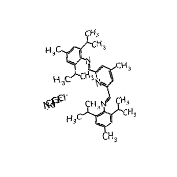 Cc1cc(C=Nc2c(C(C)C)cc(C)cc2C(C)C)nc(C=Nc2c(C(C)C)cc(C)cc2C(C)C)c1.[Cl-].[Cl-].[Cl-].[Nd+3]